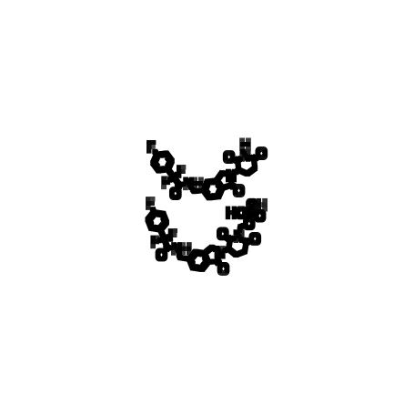 O=C1CCC(N2Cc3cc(CNC(=O)C(F)(F)c4ccc(F)cc4)ccc3C2=O)C(=O)N1.O=C1CCC(N2Cc3cc(CNC(=O)C(F)(F)c4ccc(F)cc4)ccc3C2=O)C(=O)N1COP(=O)(O)O